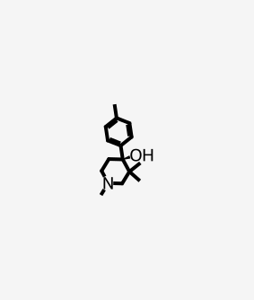 Cc1ccc([C@@]2(O)CCN(C)CC2(C)C)cc1